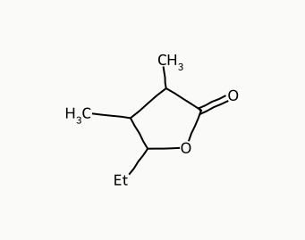 CCC1OC(=O)C(C)C1C